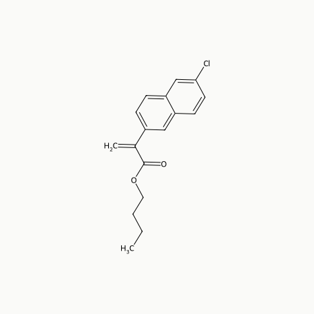 C=C(C(=O)OCCCC)c1ccc2cc(Cl)ccc2c1